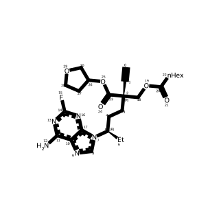 C#C[C@](CC[C@@H](CC)n1cnc2c(N)nc(F)nc21)(COC(=O)CCCCCC)C(=O)OC1CCOC1